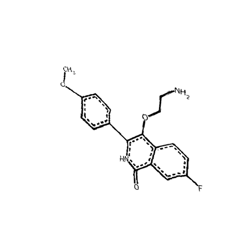 COc1ccc(-c2[nH]c(=O)c3cc(F)ccc3c2OCCN)cc1